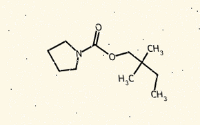 CCC(C)(C)COC(=O)N1CCCC1